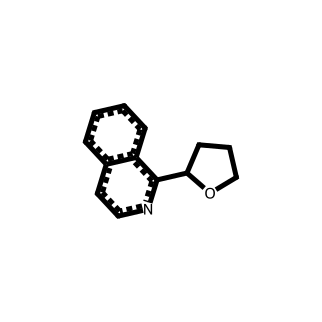 c1ccc2c(C3CCCO3)nccc2c1